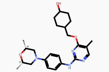 Cc1cnc(Nc2ccc(N3C[C@@H](C)O[C@@H](C)C3)cc2)nc1OCC1CCC(O)CC1